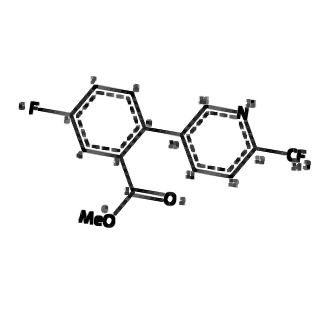 COC(=O)c1cc(F)ccc1-c1ccc(C(F)(F)F)nc1